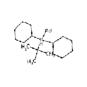 CC(C)(C)[PH]([Pd])(C1CCCCC1)C1CCCCC1